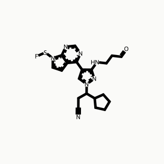 N#CCC(C1CCCC1)n1cc(-c2ncnc3c2ccn3SF)c(NCCC=O)n1